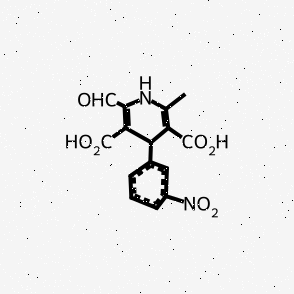 CC1=C(C(=O)O)C(c2cccc([N+](=O)[O-])c2)C(C(=O)O)=C(C=O)N1